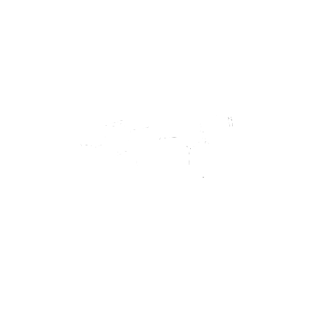 CNCc1cc(OCc2ccc(F)cc2F)n(CC(C)(C)C)n1